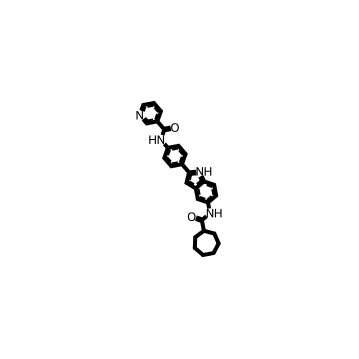 O=C(Nc1ccc(-c2cc3cc(NC(=O)C4CCCCCC4)ccc3[nH]2)cc1)c1cccnc1